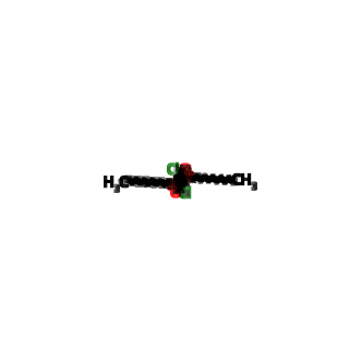 CCCCCCCCCCCCOc1cc(C(=O)Cl)c(OCCCCCCCCCCCC)cc1C(=O)Cl